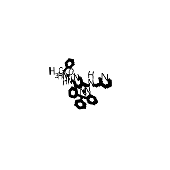 C[C@@H](NC(=O)Nc1cc2c(cn1)c(NCc1cccnc1)nn2C(c1ccccc1)(c1ccccc1)c1ccccc1)c1ccccc1